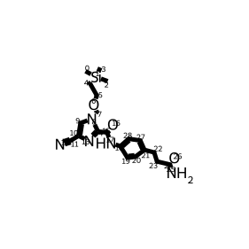 C[Si](C)(C)CCOCn1cc(C#N)nc1C(=O)Nc1ccc(CCC(N)=O)cc1